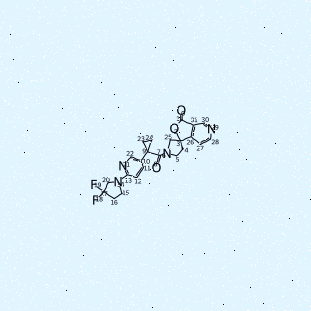 O=C1O[C@]2(CCN(C(=O)C3(c4ccc(N5CCC(F)(F)C5)nc4)CC3)C2)c2ccncc21